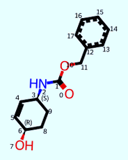 O=C(N[C@@H]1C=C[C@H](O)CC1)OCc1ccccc1